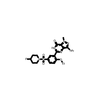 CCCc1nn(C)c2c(=O)[nH]c(-c3cc(S(=O)(=O)N4CCC(F)CC4)ccc3OCC)nc12